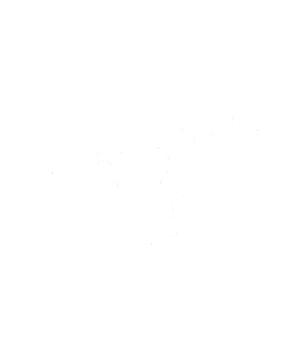 CCOC(COc1ccc(OCC(=O)O)c(C)c1)=C(c1ccc(-c2ccc(Cl)s2)cc1)c1ccc(-c2ccc(Cl)s2)cc1